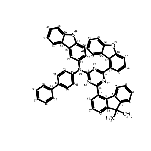 CC1(C)c2ccccc2-c2c(-c3nc(-c4cccc5oc6ccccc6c45)nc(N(c4ccc(-c5ccccc5)cc4)c4ccc5sc6ccccc6c5c4)n3)cccc21